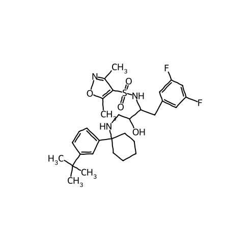 Cc1noc(C)c1S(=O)(=O)NC(Cc1cc(F)cc(F)c1)C(O)CNC1(c2cccc(C(C)(C)C)c2)CCCCC1